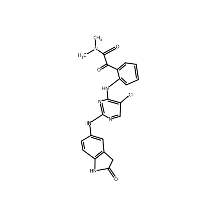 CN(C)C(=O)C(=O)c1ccccc1Nc1nc(Nc2ccc3c(c2)CC(=O)N3)ncc1Cl